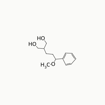 COC(CCC(CO)CO)c1ccccc1